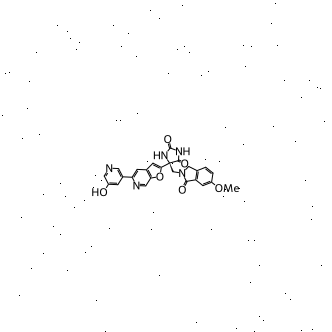 COc1ccc2c(c1)C(=O)N(C[C@@]1(c3cc4cc(-c5cncc(O)c5)ncc4o3)NC(=O)NC1=O)C2